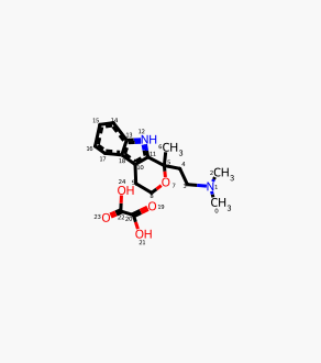 CN(C)CCC1(C)OCCc2c1[nH]c1ccccc21.O=C(O)C(=O)O